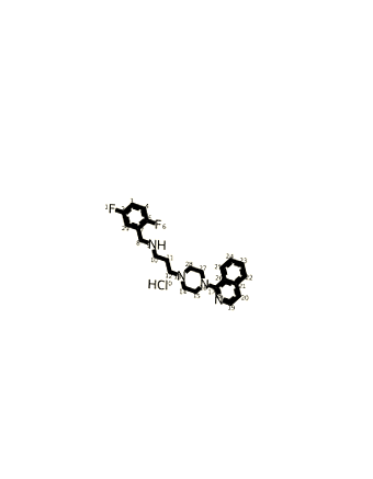 Cl.Fc1ccc(F)c(CNCCCN2CCN(c3nccc4ccccc34)CC2)c1